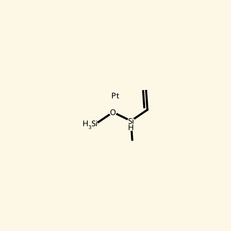 C=C[SiH](C)O[SiH3].[Pt]